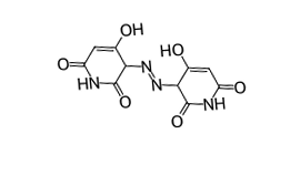 O=C1C=C(O)C(N=NC2C(=O)NC(=O)C=C2O)C(=O)N1